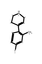 Cc1cc(F)ccc1C1=CCNCC1